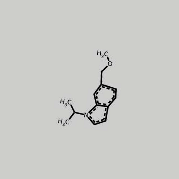 COCc1ccc2ccn(C(C)C)c2c1